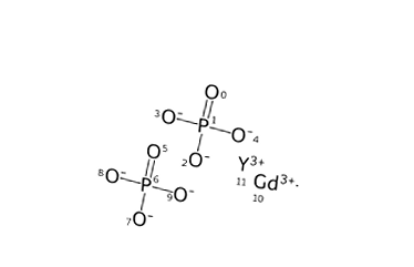 O=P([O-])([O-])[O-].O=P([O-])([O-])[O-].[Gd+3].[Y+3]